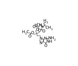 CC(=O)OCC(CCn1cnc2c(=O)[nH]c(N)nc21)(COC(C)=O)COC(=O)[C@H](N)C(C)C